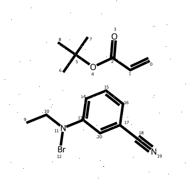 C=CC(=O)OC(C)(C)C.CCN(Br)c1cccc(C#N)c1